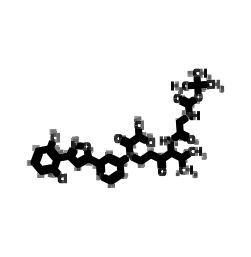 CC(C)C(NC(=O)CNC(=O)OC(C)(C)C)C(=O)CCN(C(=O)C(Cl)Cl)c1ccnc(-c2cc(-c3c(Cl)cccc3Cl)no2)c1